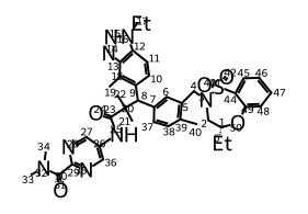 CC[C@@H]1CN(Cc2cc(C(c3ccc4c(nnn4CC)c3C)C(C)(C)C(=O)Nc3cnc(C(=O)N(C)C)nc3)ccc2C)S(=O)(=O)c2ccccc2O1